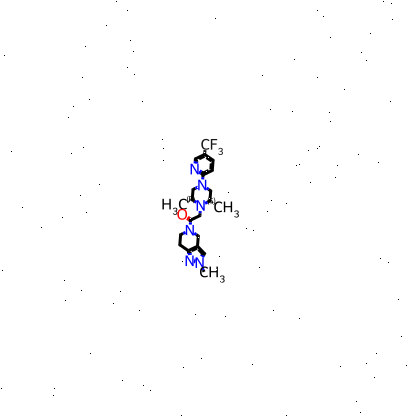 C[C@@H]1CN(c2ccc(C(F)(F)F)cn2)C[C@H](C)N1CC(=O)N1CCc2nn(C)cc2C1